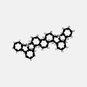 c1ccc2c(c1)c1cccc3c4c5ccc6c(ccc7c6c6cccc8c9ccccc9n7c86)c5ccc4n2c13